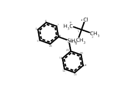 CC(C)(C)Cl.c1ccc([SiH2]c2ccccc2)cc1